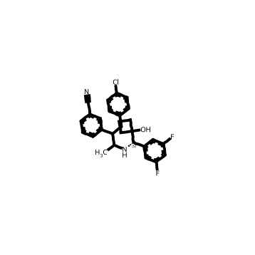 CC(N[C@@H](c1cc(F)cc(F)c1)C1(O)CCC1)C(Cc1ccc(Cl)cc1)c1cccc(C#N)c1